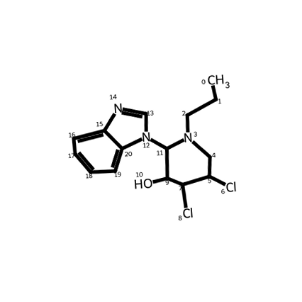 CCCN1CC(Cl)C(Cl)C(O)C1n1cnc2ccccc21